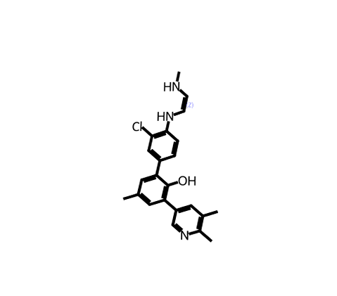 CN/C=C\Nc1ccc(-c2cc(C)cc(-c3cnc(C)c(C)c3)c2O)cc1Cl